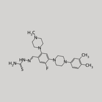 Cc1ccc(N2CCN(c3cc(N4CCN(C)CC4)c(/C=N/NC(N)=S)cc3F)CC2)cc1C